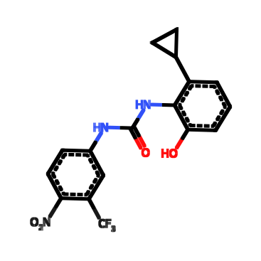 O=C(Nc1ccc([N+](=O)[O-])c(C(F)(F)F)c1)Nc1c(O)cccc1C1CC1